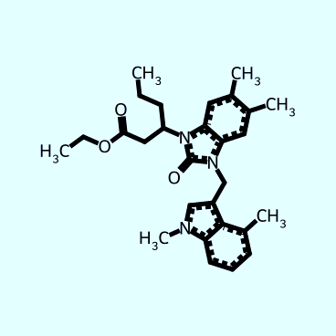 CCCC(CC(=O)OCC)n1c(=O)n(Cc2cn(C)c3cccc(C)c23)c2cc(C)c(C)cc21